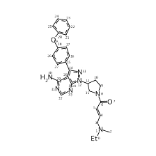 CCN(C)CC=CC(=O)N1CCC(n2nc(-c3ccc(Oc4ccccc4)cc3)c3c(N)ncnc32)C1